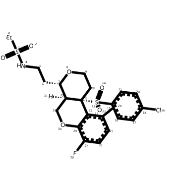 CCS(=O)(=O)NCC[C@@H]1OCC[C@@]2(S(=O)(=O)c3ccc(Cl)cc3)c3c(F)ccc(F)c3OC[C@@H]12